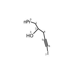 CCCCC(O)CC#CI